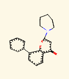 O=c1cc(N2CCCCC2)oc2c(-c3ccccc3)cccc12